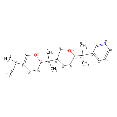 CC(C)C1=COC(C(C)(C)C2=CCC(C(C)(C)c3cccnc3)OC2)CC1